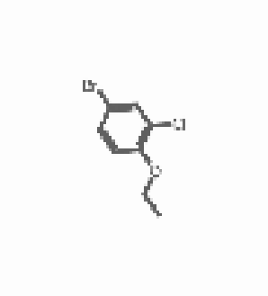 CCOc1ccc(Br)cc1Cl